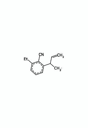 [CH2]C(C=C)c1cccc(CC)c1C#N